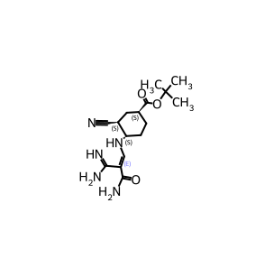 CC(C)(C)OC(=O)[C@H]1CC[C@H](N/C=C(\C(=N)N)C(N)=O)[C@@H](C#N)C1